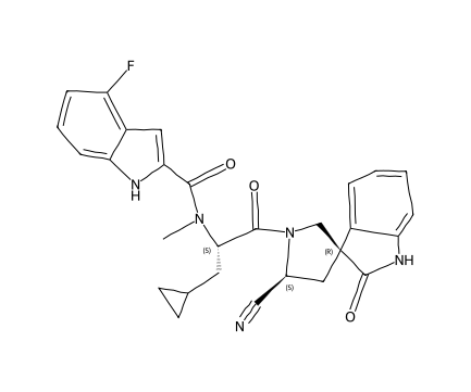 CN(C(=O)c1cc2c(F)cccc2[nH]1)[C@@H](CC1CC1)C(=O)N1C[C@]2(C[C@H]1C#N)C(=O)Nc1ccccc12